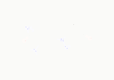 Cc1nn(-c2ccc(C(N)=O)c(N3CCCCC3)c2)c2c1C(=O)CC(C)(C)C2